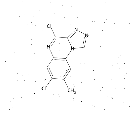 Cc1cc2c(cc1Cl)nc(Cl)c1nncn12